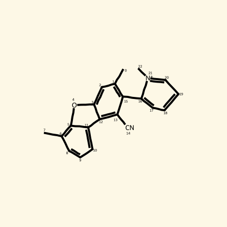 Cc1cc2oc3c(C)cccc3c2c(C#N)c1-c1cccc[n+]1C